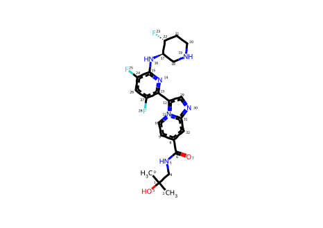 CC(C)(O)CNC(=O)c1ccn2c(-c3nc(N[C@@H]4CNCC[C@H]4F)c(F)cc3F)cnc2c1